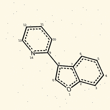 [c]1oc2ccccc2c1-c1ccccn1